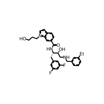 CCc1cccc(CNC[C@H](O)[C@H](Cc2cc(F)cc(F)c2)NC(=O)c2ccc3ccn(CCCO)c3c2)c1